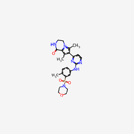 Cc1ccc(Nc2nccc(-c3c(C)c4n(c3C)CCNC4=O)n2)cc1S(=O)(=O)N1CCOCC1